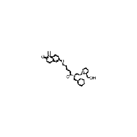 O=C(CCCCOc1ccc2[nH]c(=O)ccc2c1)N(CCN1CCCC1CO)CC1CCCCC1